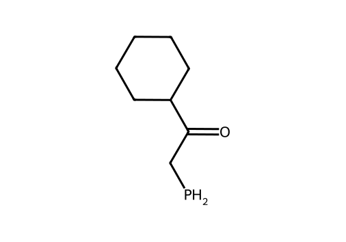 O=C(CP)C1CCCCC1